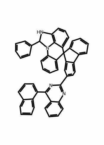 c1ccc(C2Nc3cccc4c3N2c2ccccc2C42c3ccccc3-c3ccc(-c4nc(-c5cccc6ccccc56)c5ccccc5n4)cc32)cc1